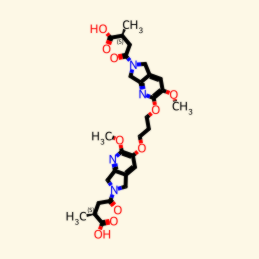 COc1cc2c(nc1OCCCOc1cc3c(nc1OC)CN(C(=O)C[C@H](C)C(=O)O)C3)CN(C(=O)C[C@H](C)C(=O)O)C2